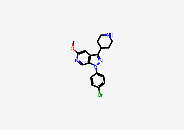 COc1cc2c(C3CCNCC3)nn(-c3ccc(Br)cc3)c2cn1